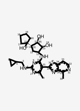 Cc1nc(NCC2CC2)nc(NC2C[C@H](C3(O)CCCC3)[C@@H](O)[C@H]2O)c1-c1nc2c(C)nccc2s1